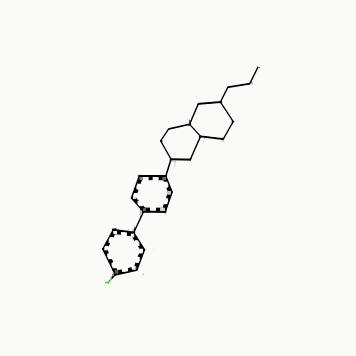 CCCC1CCC2CC(c3ccc(-c4ccc(Cl)cc4)cc3)CCC2C1